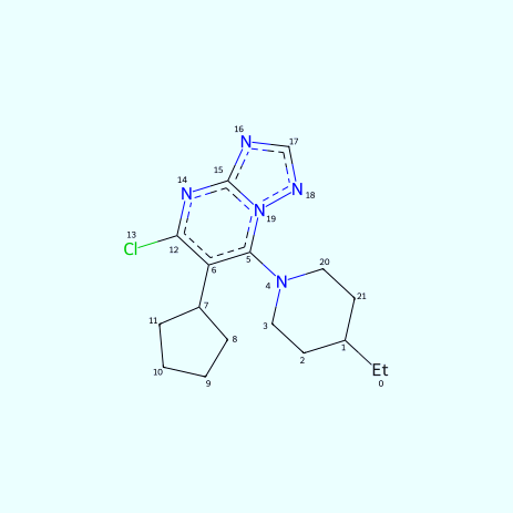 CCC1CCN(c2c(C3CCCC3)c(Cl)nc3ncnn23)CC1